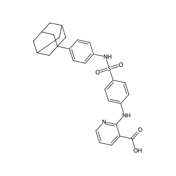 O=C(O)c1cccnc1Nc1ccc(S(=O)(=O)Nc2ccc(C34CC5CC(CC(C5)C3)C4)cc2)cc1